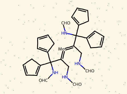 O=CNC[C](=[Mo]=[C](CNC=O)C(NC=O)(C1=CC=CC1)C1=CC=CC1)C(NC=O)(C1=CC=CC1)C1=CC=CC1